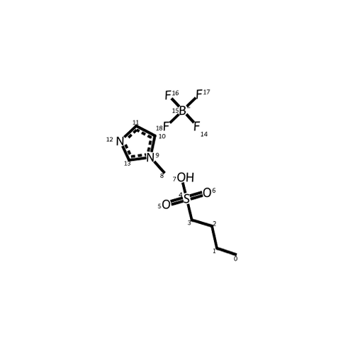 CCCCS(=O)(=O)O.Cn1ccnc1.F[B-](F)(F)F